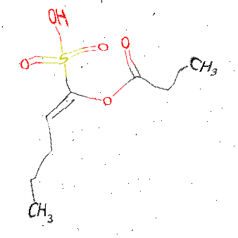 CCC/C=C(\OC(=O)CC)S(=O)(=O)O